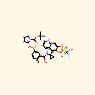 Cc1ccc(OC[C@@H]2CCCN2C(=O)OC(C)(C)C)cc1C(=O)NC1(c2cc(OS(=O)(=O)C(F)(F)F)cc3ncccc23)CC1